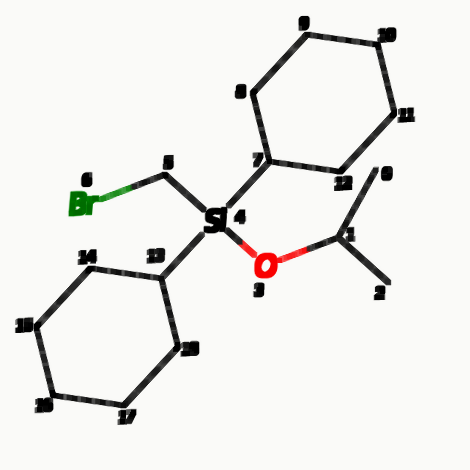 CC(C)O[Si](CBr)(C1CCCCC1)C1CCCCC1